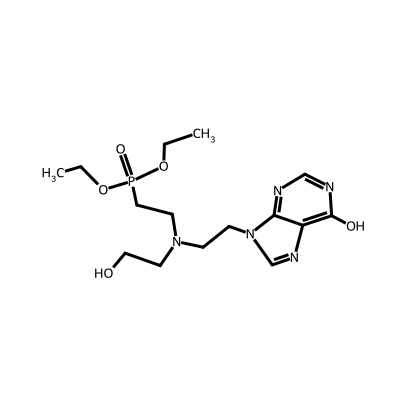 CCOP(=O)(CCN(CCO)CCn1cnc2c(O)ncnc21)OCC